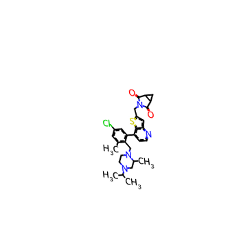 Cc1cc(Cl)cc(-c2ccnc3cc(CN4C(=O)C5CC5C4=O)sc23)c1CN1CCN(C(C)C)CC1C